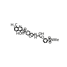 CNS(=O)(=O)c1cccc(OCC(O)CN[C@H]2COC3(CCN(S(=O)(=O)c4cnc5c(C)cccc5c4O)CC3)C2)c1